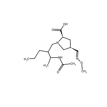 CCCC(CN1C[C@H](C=NOC)C[C@@H]1C(=O)O)C(C)NC(C)=O